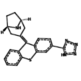 c1ccc2c(c1)Sc1cc(-c3nnn[nH]3)ccc1C2=C1C[C@@H]2CC[C@@H](C1)N2